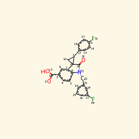 O=C(O)c1ccc2c(c1)C1(CC1c1ccc(F)cc1)C(=O)N2Cc1cccc(F)c1